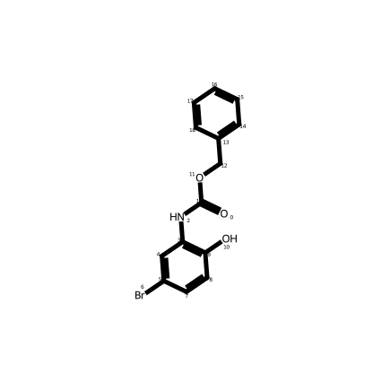 O=C(Nc1cc(Br)ccc1O)OCc1ccccc1